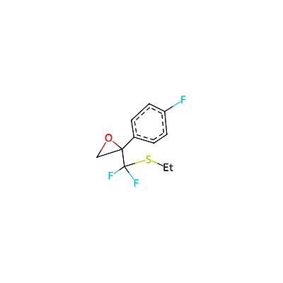 CCSC(F)(F)C1(c2ccc(F)cc2)CO1